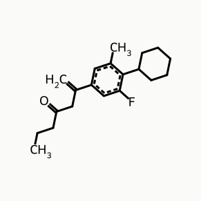 C=C(CC(=O)CCC)c1cc(C)c(C2CCCCC2)c(F)c1